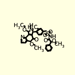 CCOC1NC(c2ccc(CS(=O)(=O)NC(=O)[C@@H](OC)c3ccccc3)cc2C)C2=C1c1ncccc1C(OCC)C2=O